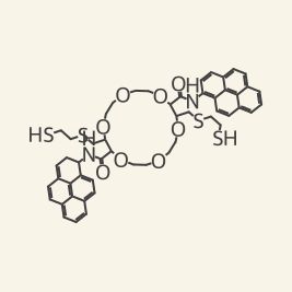 O=C(Nc1ccc2ccc3cccc4ccc1c2c34)C1OCCOCCOC(CSCCS)C(C(=O)NC2CC=c3ccc4cccc5ccc2c3c54)OCCOCCOC1CSCCS